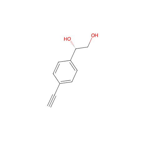 C#Cc1ccc([C@H](O)CO)cc1